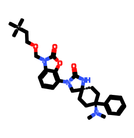 CN(C)[C@]1(c2ccccc2)CC[C@]2(CC1)CN(c1cccc3c1oc(=O)n3COCC[Si](C)(C)C)C(=O)N2